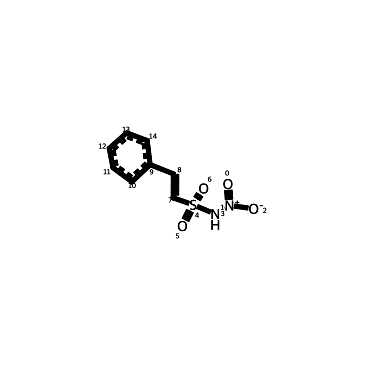 O=[N+]([O-])NS(=O)(=O)C=Cc1ccccc1